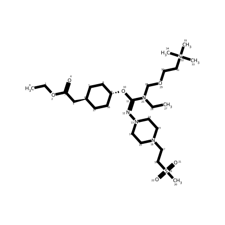 CCOC(=O)C[C@H]1CC[C@H](OC(=NN2CCN(CCS(C)(=O)=O)CC2)N(CC)COCC[Si](C)(C)C)CC1